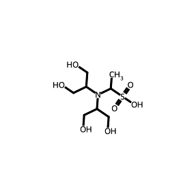 CC(N(C(CO)CO)C(CO)CO)S(=O)(=O)O